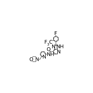 O=C(Nc1cccc(CN2CCOCC2)n1)c1ccnc2[nH]c(-c3ccc(F)cc3C(F)(F)F)nc12